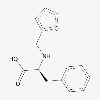 O=C(O)[C@H](Cc1ccccc1)NCc1ccco1